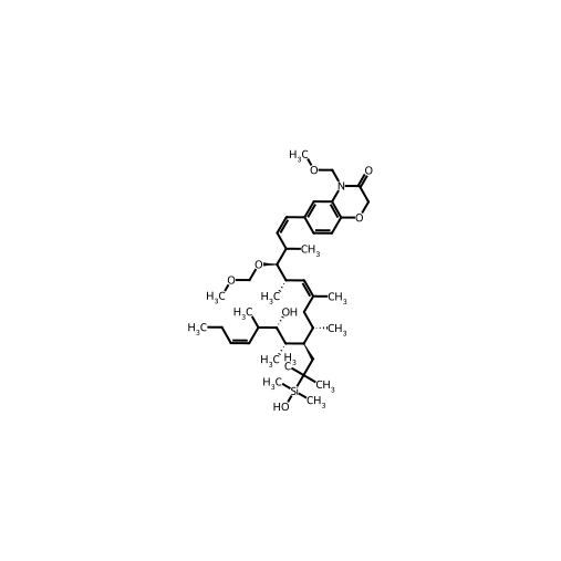 CC/C=C\C(C)[C@H](O)[C@@H](C)[C@H](CC(C)(C)[Si](C)(C)O)[C@@H](C)C/C(C)=C\[C@H](C)[C@@H](OCOC)C(C)/C=C\c1ccc2c(c1)N(COC)C(=O)CO2